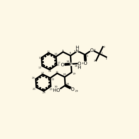 CC(C)(C)OC(=O)NC(Cc1ccccc1)P(=O)(O)CC(Cc1ccccc1)C(=O)O